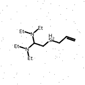 C=CC[SiH2]CC(N(CC)CC)N(CC)CC